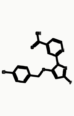 O=C(O)c1ccnc(-n2nc(F)cc2OCc2ccc(Cl)cc2)c1